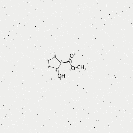 COC(=O)[C@@H]1CCC[C@H]1O